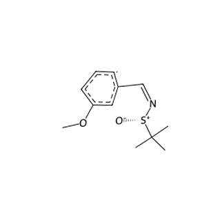 COc1cc[c]c(/C=N\[S@@+]([O-])C(C)(C)C)c1